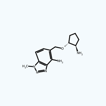 Cn1nnc2c(N)c(CO[C@@H]3CCC[C@H]3N)ccc21